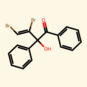 O=C(c1ccccc1)C(O)(C(Br)=CBr)c1ccccc1